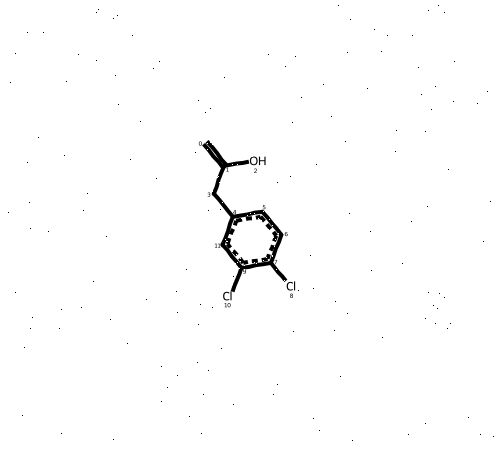 C=C(O)Cc1ccc(Cl)c(Cl)c1